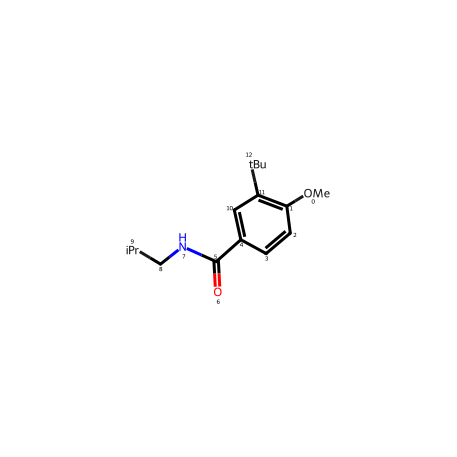 COc1ccc(C(=O)NCC(C)C)cc1C(C)(C)C